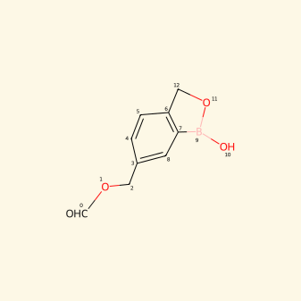 O=COCc1ccc2c(c1)B(O)OC2